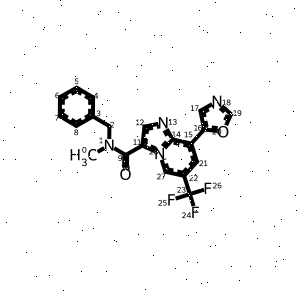 CN(Cc1ccccc1)C(=O)c1cnc2c(-c3cnco3)cc(C(F)(F)F)cn12